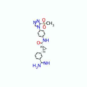 CS(=O)(=O)c1nncn1-c1ccc(NC(=O)[C@@H]2C[C@@H]2c2cccc(C(=N)N)c2)cc1